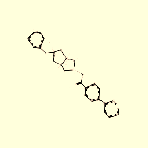 O=C(CN1C[C@@H]2C[C@](O)(Cc3ccccc3)C[C@@H]2C1)c1ccc(-c2cccnc2)cc1